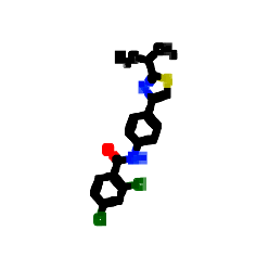 CC(C)c1nc(-c2ccc(NC(=O)c3ccc(Cl)cc3Cl)cc2)cs1